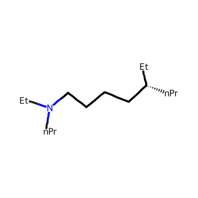 CCC[C@@H](CC)CCCCN(CC)CCC